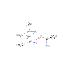 CC[C@H](C)[C@H](N)C(=O)O.CC[C@H](C)[C@H](N)C(=O)O.N[C@@H](CO)C(=O)O